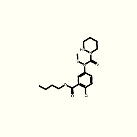 CCCCOC(=O)c1cc(N(SC)C(=S)N2CCCCN2)ccc1Cl